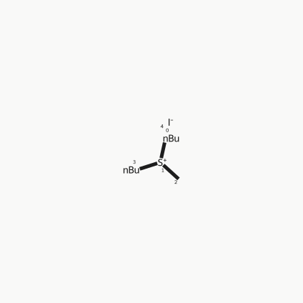 CCCC[S+](C)CCCC.[I-]